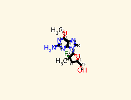 COc1nc(N)nc2c1ncn2C1OC(CO)C[C@@]1(C)F